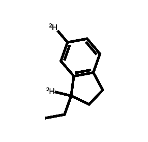 [2H]c1ccc2c(c1)C([2H])(CC)CC2